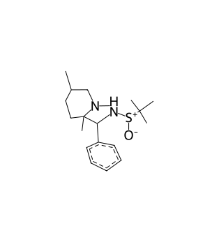 CC1CCC(C)(C(N[S+]([O-])C(C)(C)C)c2ccccc2)N(C)C1